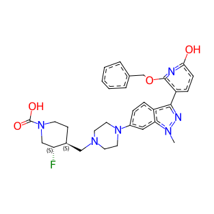 Cn1nc(-c2ccc(O)nc2OCc2ccccc2)c2ccc(N3CCN(C[C@@H]4CCN(C(=O)O)C[C@H]4F)CC3)cc21